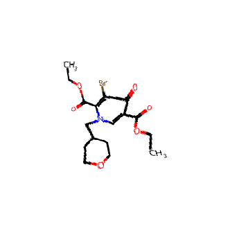 CCOC(=O)c1cn(CC2CCOCC2)c(C(=O)OCC)c(Br)c1=O